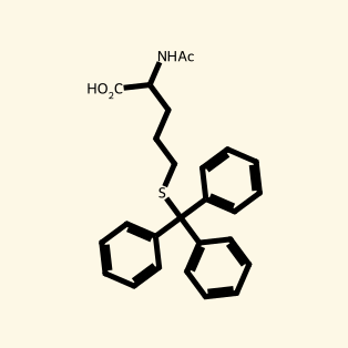 CC(=O)NC(CCCSC(c1ccccc1)(c1ccccc1)c1ccccc1)C(=O)O